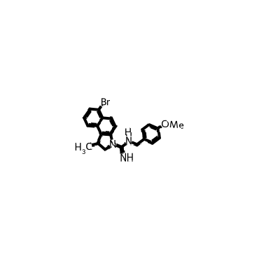 COc1ccc(CNC(=N)N2CC(C)c3c2ccc2c(Br)cccc32)cc1